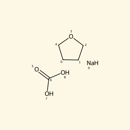 C1CCOC1.O=C(O)O.[NaH]